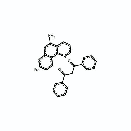 Nc1cc2ncccc2c2ncccc12.O=C(CC(=O)c1ccccc1)c1ccccc1.[Eu]